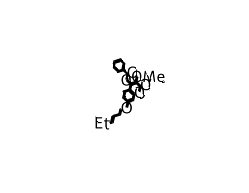 CCC=CCCOc1ccc2c(OC(=O)c3ccccc3)c(OC)c(=O)oc2c1